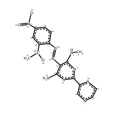 CNc1nc(-c2cnccn2)nc(N)c1/N=N/c1ccc([N+](=O)[O-])cc1[S+](C)[O-]